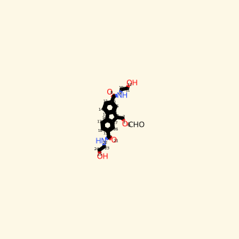 O=COCC1c2cc(C(=O)NCCO)ccc2-c2ccc(C(=O)NCCO)cc21